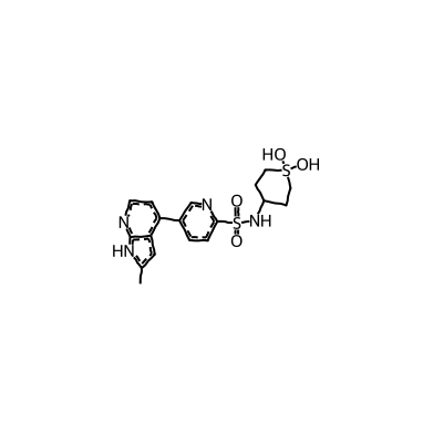 Cc1cc2c(-c3ccc(S(=O)(=O)NC4CCS(O)(O)CC4)nc3)ccnc2[nH]1